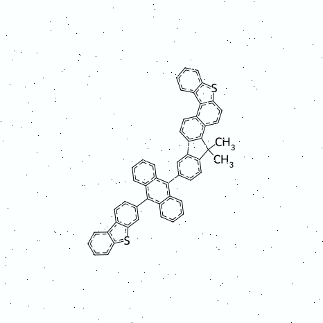 CC1(C)c2ccc(-c3c4ccccc4c(-c4ccc5c(c4)sc4ccccc45)c4ccccc34)cc2-c2ccc3c(ccc4sc5ccccc5c43)c21